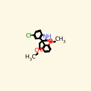 CCOC(=O)CC1(c2ccccc2OCC)C(=O)Nc2ccc(Cl)cc21